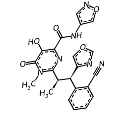 C[C@@H](c1nc(C(=O)Nc2cnoc2)c(O)c(=O)n1C)[C@@H](c1cocn1)c1ccccc1C#N